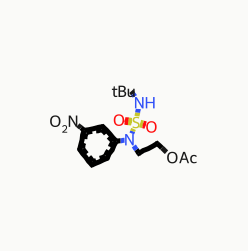 CC(=O)OCCN(c1cccc([N+](=O)[O-])c1)S(=O)(=O)NC(C)(C)C